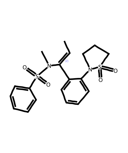 C/C=C(/c1ccccc1N1CCCS1(=O)=O)N(C)S(=O)(=O)c1ccccc1